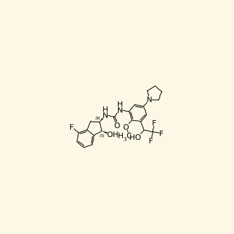 COc1c(NC(=O)N[C@@H]2Cc3c(F)cccc3[C@@H]2O)cc(N2CCCC2)cc1C(O)C(F)(F)F